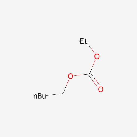 C[CH]OC(=O)OCCCCC